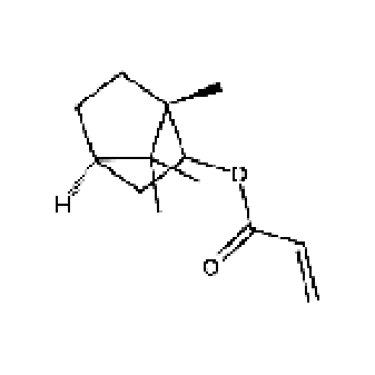 C=CC(=O)OC1C[C@H]2CC[C@@]1(C)C2(C)C